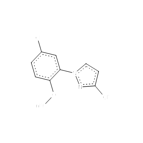 CCCOc1ccc(Cl)cc1-n1ccc(C(F)(F)F)n1